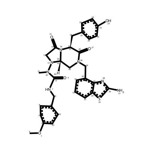 COc1ccc(CNC(=O)N(C)N2CC(=O)N3[C@@H](Cc4ccc(O)cc4)C(=O)N(Cc4cccc5sc(N)nc45)C[C@@H]32)cc1